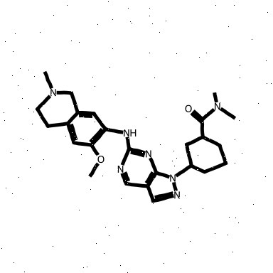 COc1cc2c(cc1Nc1ncc3cnn(C4CCCC(C(=O)N(C)C)C4)c3n1)CN(C)CC2